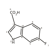 O=C(O)c1c[nH]c2cc(F)ccc12